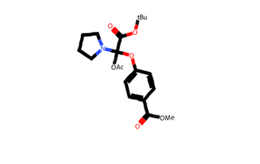 COC(=O)c1ccc(OC(OC(C)=O)(C(=O)OC(C)(C)C)N2CCCC2)cc1